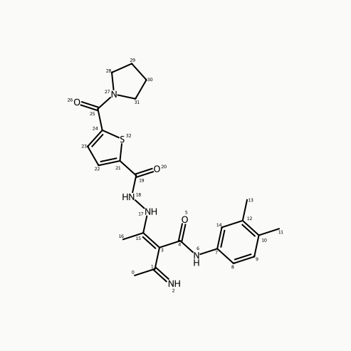 CC(=N)/C(C(=O)Nc1ccc(C)c(C)c1)=C(\C)NNC(=O)c1ccc(C(=O)N2CCCC2)s1